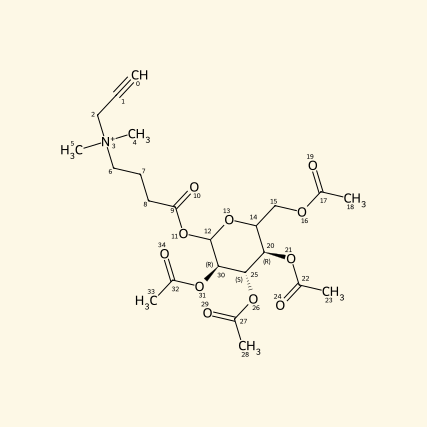 C#CC[N+](C)(C)CCCC(=O)OC1OC(COC(C)=O)[C@@H](OC(C)=O)[C@H](OC(C)=O)[C@H]1OC(C)=O